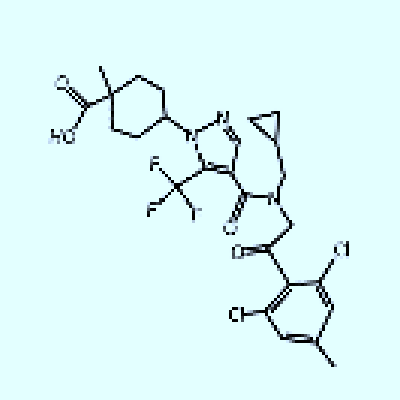 Cc1cc(Cl)c(C(=O)CN(CC2CC2)C(=O)c2cnn(C3CCC(C)(C(=O)O)CC3)c2C(F)(F)F)c(Cl)c1